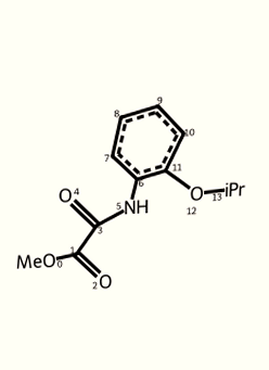 COC(=O)C(=O)Nc1ccccc1OC(C)C